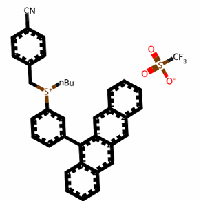 CCCC[S+](Cc1ccc(C#N)cc1)c1cccc(-c2c3ccccc3cc3cc4ccccc4cc23)c1.O=S(=O)([O-])C(F)(F)F